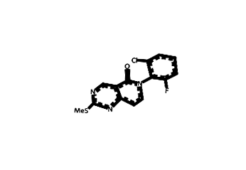 CSc1ncc2c(=O)n(-c3c(F)cccc3Cl)ccc2n1